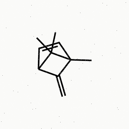 C=C1C2C=CC1(C)C2(C)C